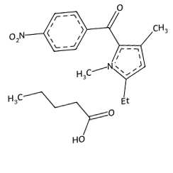 CCCCC(=O)O.CCc1cc(C)c(C(=O)c2ccc([N+](=O)[O-])cc2)n1C